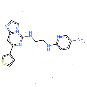 Nc1ccc(NCCNc2nc(-c3ccsc3)cc3nccn23)nc1